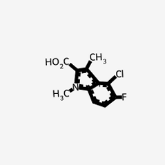 Cc1c(C(=O)O)n(C)c2ccc(F)c(Cl)c12